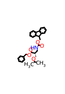 CC(C)OC[C@@H](CNC(=O)OCC1c2ccccc2-c2ccccc21)C(=O)OCc1ccccc1